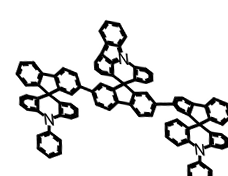 c1ccc(N2c3ccccc3C3(c4ccccc4-c4ccc(-c5ccc6c(c5)C5(c7cc(-c8ccc9c(c8)C8(c%10ccccc%10-9)c9ccccc9N(c9ccccc9)c9ccccc98)ccc7-6)c6ccccc6-n6c7ccccc7c7cccc5c76)cc43)c3ccccc32)cc1